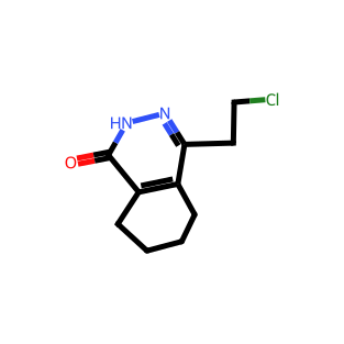 O=c1[nH]nc(CCCl)c2c1CCCC2